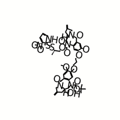 C=C1C[C@H]2[C@H](O)N(C(=O)OC[C@@H](C)SSc3ncccc3[N+](=O)[O-])c3cc(OCCCOc4cc5c(cc4OC)C(=O)N4CC(=C)C[C@H]4[C@H](O)N5C(=O)OC(C)(C)C)c(OC)cc3C(=O)N2C1